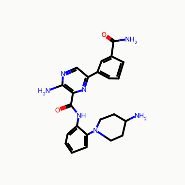 NC(=O)c1cccc(-c2cnc(N)c(C(=O)Nc3ccccc3N3CCC(N)CC3)n2)c1